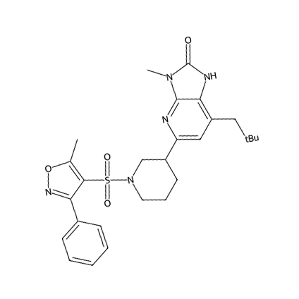 Cc1onc(-c2ccccc2)c1S(=O)(=O)N1CCCC(c2cc(CC(C)(C)C)c3[nH]c(=O)n(C)c3n2)C1